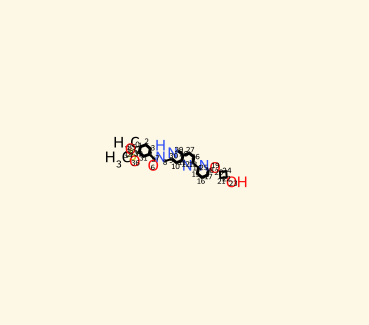 Cc1ccc(C(=O)NCc2cc3nc(-c4cccc(O[C@H]5C[C@@H](O)C5)n4)ccc3cn2)cc1S(C)(=O)=O